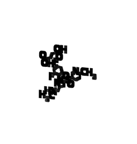 CNCc1cc(S(=O)(=O)c2ccc(C)nc2)n(-c2ccc(F)cc2F)n1.O=C(O)C=CC(=O)O